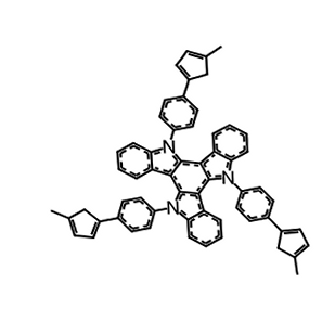 CC1=CC=C(c2ccc(-n3c4ccccc4c4c3c3c5ccccc5n(-c5ccc(C6=CC=C(C)C6)cc5)c3c3c5ccccc5n(-c5ccc(C6=CC=C(C)C6)cc5)c43)cc2)C1